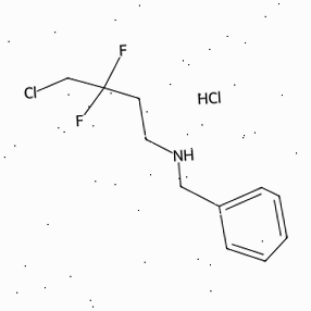 Cl.FC(F)(CCl)CCNCc1ccccc1